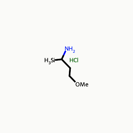 COCCC(N)[SiH3].Cl